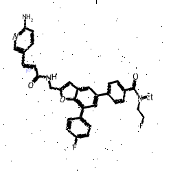 CCN(CCF)C(=O)c1ccc(-c2cc(-c3ccc(F)cc3)c3oc(CNC(=O)/C=C/c4ccc(N)nc4)cc3c2)cc1